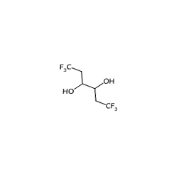 OC(CC(F)(F)F)C(O)CC(F)(F)F